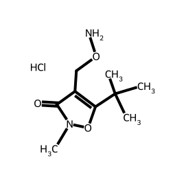 Cl.Cn1oc(C(C)(C)C)c(CON)c1=O